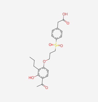 CCCc1c(OCCCS(=O)(=O)c2ccc(CC(=O)O)cc2)ccc(C(C)=O)c1O